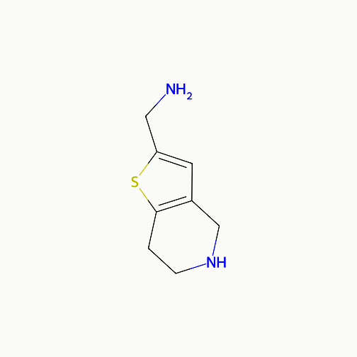 NCc1cc2c(s1)CCNC2